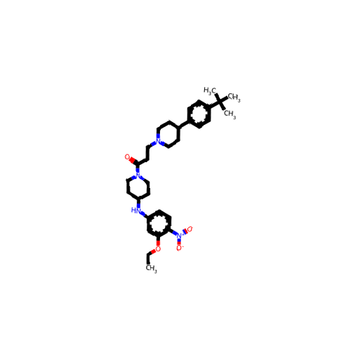 CCOc1cc(NC2CCN(C(=O)CCN3CCC(c4ccc(C(C)(C)C)cc4)CC3)CC2)ccc1[N+](=O)[O-]